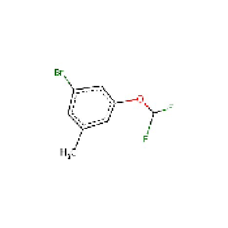 Cc1cc(Br)cc(OC(F)F)c1